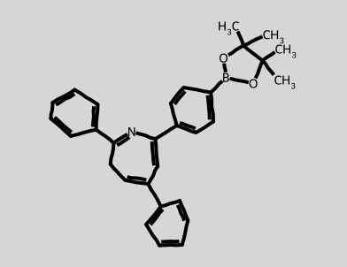 CC1(C)OB(c2ccc(C3=CC(c4ccccc4)=CCC(c4ccccc4)=N3)cc2)OC1(C)C